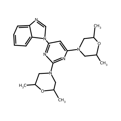 CC1CN(c2cc(-n3cnc4ccccc43)nc(N3CC(C)OC(C)C3)n2)CC(C)O1